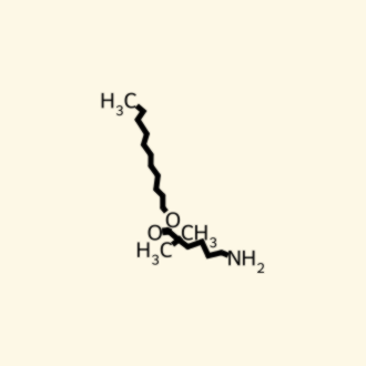 CCCCCCCCCCCOC(=O)C(C)(C)CCCCN